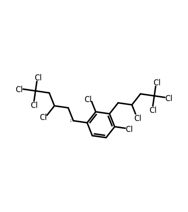 Clc1ccc([C]CC(Cl)CC(Cl)(Cl)Cl)c(Cl)c1CC(Cl)CC(Cl)(Cl)Cl